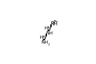 CCCNCCNCCNCCNCCN